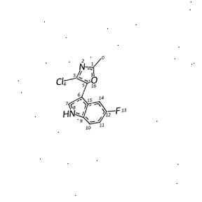 Cc1nc(Cl)c(-c2c[nH]c3ccc(F)cc23)o1